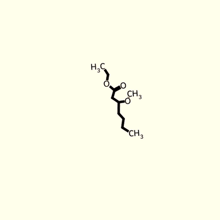 CCCCC(CC(=O)OCC)OC